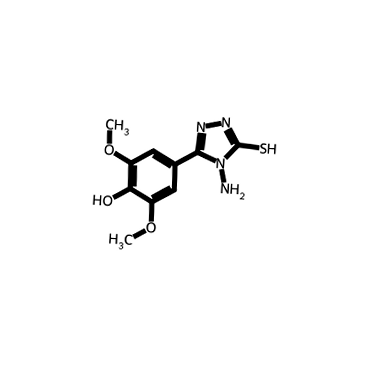 COc1cc(-c2nnc(S)n2N)cc(OC)c1O